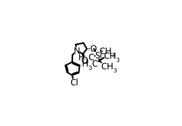 CC(C)(C)[Si](C)(C)O[C@H]1CCN(Cc2ccc(Cl)cc2)C1=O